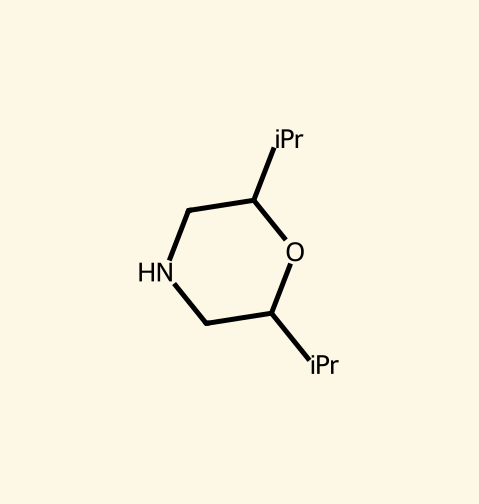 CC(C)C1CNCC(C(C)C)O1